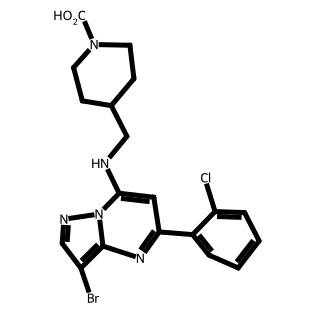 O=C(O)N1CCC(CNc2cc(-c3ccccc3Cl)nc3c(Br)cnn23)CC1